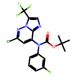 CC(C)(C)OC(=O)N(c1cccc(F)c1)c1cc(Cl)nn2c(C(F)(F)F)cnc12